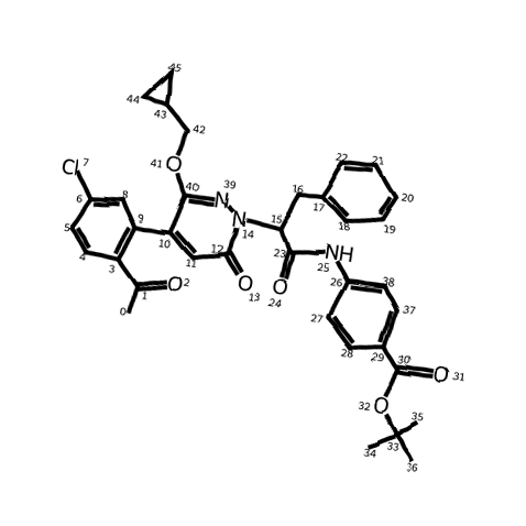 CC(=O)c1ccc(Cl)cc1-c1cc(=O)n(C(Cc2ccccc2)C(=O)Nc2ccc(C(=O)OC(C)(C)C)cc2)nc1OCC1CC1